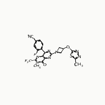 Cc1nnc(OC2CN(c3nc(-c4ccc(C#N)cc4F)c4nc(C(F)(F)F)n(C)c(=O)c4n3)C2)s1